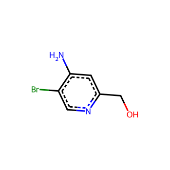 Nc1cc(CO)ncc1Br